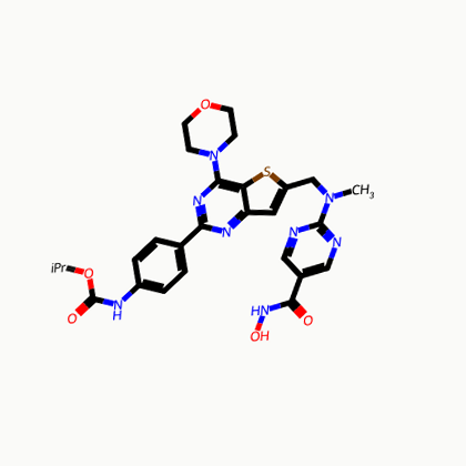 CC(C)OC(=O)Nc1ccc(-c2nc(N3CCOCC3)c3sc(CN(C)c4ncc(C(=O)NO)cn4)cc3n2)cc1